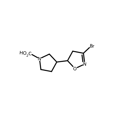 O=C(O)N1CCC(C2CC(Br)=NO2)C1